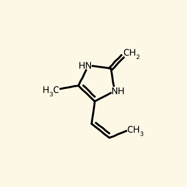 C=C1NC(C)=C(/C=C\C)N1